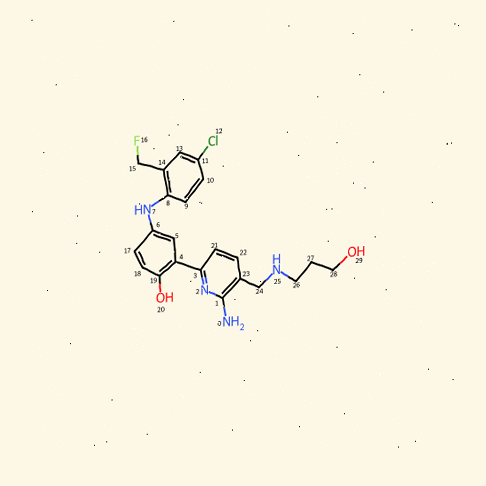 Nc1nc(-c2cc(Nc3ccc(Cl)cc3CF)ccc2O)ccc1CNCCCO